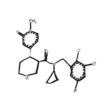 Cn1ccc([C@H]2CCNC[C@@H]2C(=O)N(Cc2cc(Br)cc(Cl)c2Cl)C2CC2)cc1=O